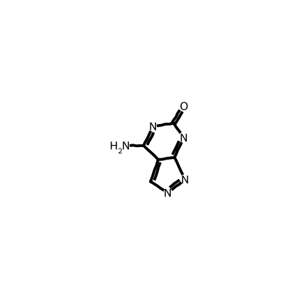 NC1=NC(=O)N=C2N=NC=C12